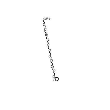 COCCOCCOCCOCCOCCOCCOCCOCCOCCOCCOCCOC1CCCCO1